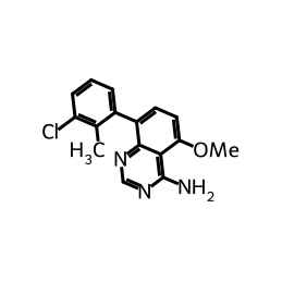 COc1ccc(-c2cccc(Cl)c2C)c2ncnc(N)c12